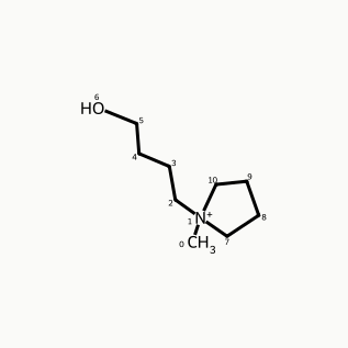 C[N+]1(CCCCO)CCCC1